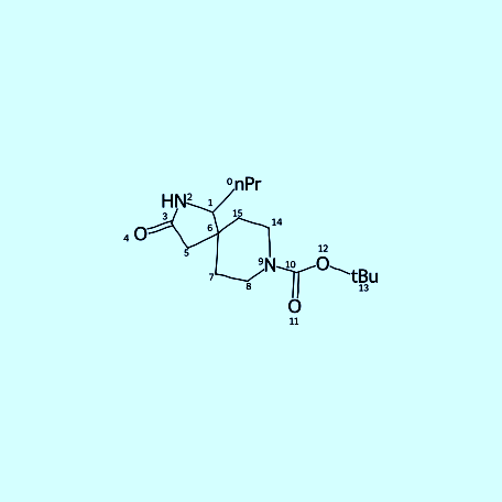 CCCC1NC(=O)CC12CCN(C(=O)OC(C)(C)C)CC2